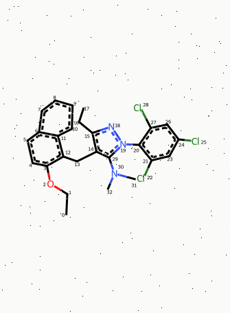 CCOc1ccc2ccccc2c1Cc1c(CC)nn(-c2c(Cl)cc(Cl)cc2Cl)c1N(C)C